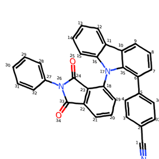 N#Cc1ccc(-c2cccc3c4ccccc4n(-c4cccc5c4C(=O)N(c4ccccc4)C5=O)c23)cc1